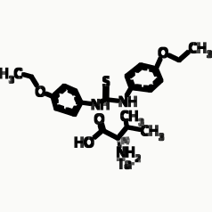 CC(C)[C@H](N)C(=O)O.CCOc1ccc(NC(=S)Nc2ccc(OCC)cc2)cc1.[Ta]